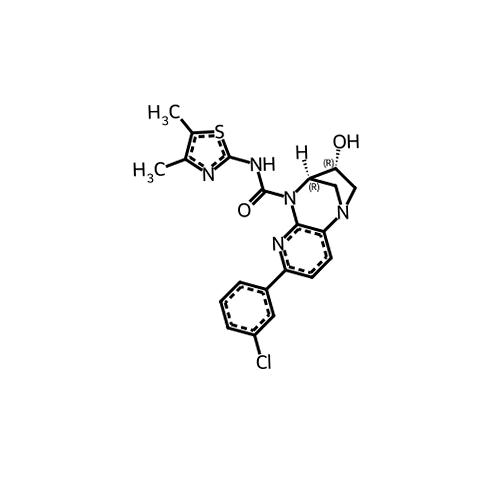 Cc1nc(NC(=O)N2c3nc(-c4cccc(Cl)c4)ccc3N3C[C@@H](O)[C@H]2C3)sc1C